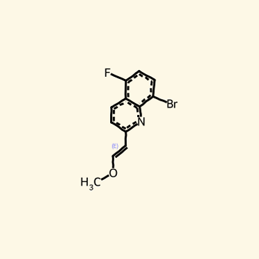 CO/C=C/c1ccc2c(F)ccc(Br)c2n1